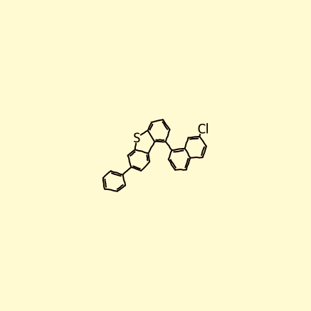 Clc1ccc2cccc(-c3cccc4sc5cc(-c6ccccc6)ccc5c34)c2c1